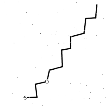 CCCCCCCCCOCC[S]